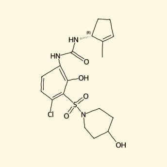 CC1=CCC[C@H]1NC(=O)Nc1ccc(Cl)c(S(=O)(=O)N2CCC(O)CC2)c1O